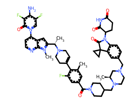 Cc1cc(C(=O)N2CCC(CN3CCN(Cc4ccc5c(c4)C4(CC4)C(=O)N5C4CCC(=O)NC4=O)C[C@@H]3C)CC2)cc(F)c1C1=CCN([C@@H](C)c2cc3c(-n4cc(F)c(N)c(F)c4=O)ccnc3n2C)CC1